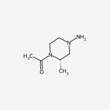 CC(=O)N1CCN(N)C[C@@H]1C